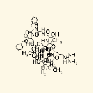 CC[C@H](C)[C@H](NC(=O)[C@@H](CCCNC(=N)N)NC(=O)[C@H](CC(C)C)NC(=O)[C@@H](NC(=O)OC(C)(C)C)[C@H](O)C(C)C)C(=O)N[C@H](C(=O)NCC(=O)N[C@@H](Cc1ccccc1)C(=O)N[C@@H](CO)C(=O)OCc1ccccc1)[C@H](C)O